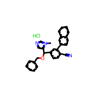 Cl.Cn1cncc1C(OCc1ccccc1)c1ccc(C#N)c(-c2ccc3ccccc3c2)c1